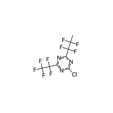 CC(F)(F)C(F)(F)c1nc(Cl)nc(C(F)(F)C(F)(F)F)n1